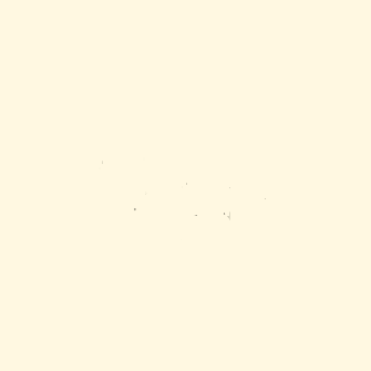 CCN(CC)c1cc[c]c(C(C)C)c1